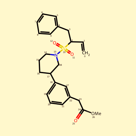 C=CC(Cc1ccccc1)S(=O)(=O)N1CCCC(c2cccc(CC(=O)OC)c2)C1